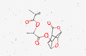 C=C(C)C(=O)OC(C)C(=O)OC1C2CC3C(=O)OC1C3O2